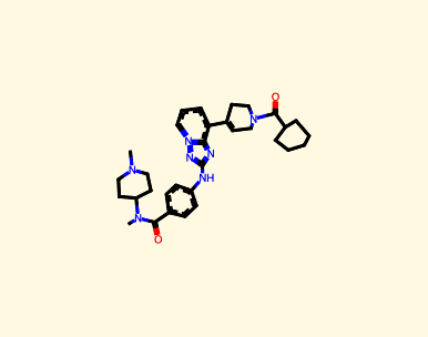 CN1CCC(N(C)C(=O)c2ccc(Nc3nc4c(C5=CCN(C(=O)C6CCCCC6)CC5)cccn4n3)cc2)CC1